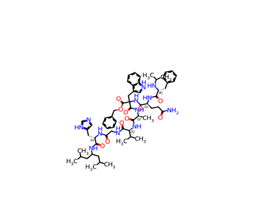 CC(C)CC(CC(C)C)NC(=O)[C@H](Cc1cnc[nH]1)NC(=O)CNC(=O)[C@@H](NC(=O)[C@H](C)NC(=O)C(Cc1c[nH]c2ccccc12)(NC(=O)[C@H](CCC(N)=O)NC(=O)[C@@H](Cc1ccccc1)NC(C)C)C(=O)OCc1ccccc1)C(C)C